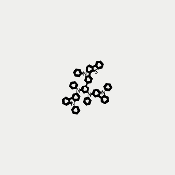 c1ccc(N(c2cc(-c3ccc4c5c6sc7ccccc7c6ccc5n(-c5ccccc5)c4c3)cc(N(c3ccccc3)c3ccc4c(c3)c3ccccc3n4-c3ccccc3)c2)c2ccc3c(c2)c2ccccc2n3-c2ccccc2)cc1